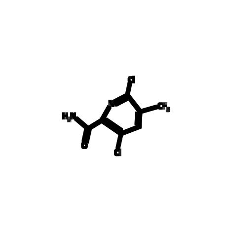 NC(=O)c1nc(Cl)c(C(F)(F)F)cc1Cl